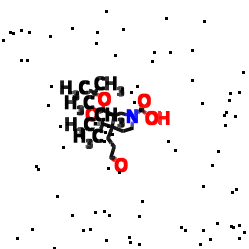 CC(C)(C)OC(=O)C1CN(C(=O)O)CCC1(CCC=O)C(C)(C)C